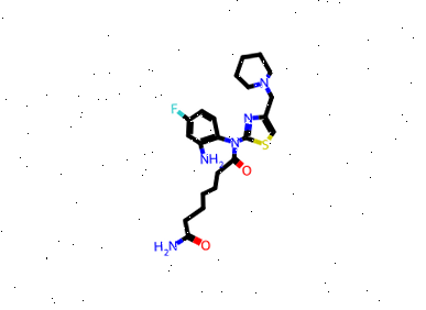 NC(=O)CCCCCC(=O)N(c1nc(CN2CCCCC2)cs1)c1ccc(F)cc1N